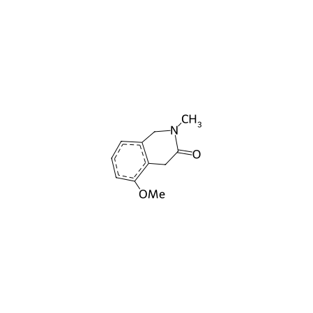 COc1cccc2c1CC(=O)N(C)C2